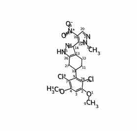 COc1cc(OC)c(Cl)c(C2CCc3c(-c4c([N+](=O)[O-])cnn4C)n[nH]c3C2)c1Cl